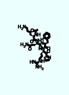 CC(=O)N[C@@H](CCCCN)C(=O)N[C@@H](CCC(N)=O)C(=O)N[C@@H](Cc1ccccc1)C(=O)N[C@@H](CCCNC(=N)N)C(=O)c1nccs1